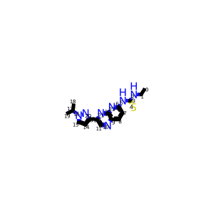 CCNC(=S)Nc1ccc2ncc(-c3ccn(C(C)C)n3)nc2n1